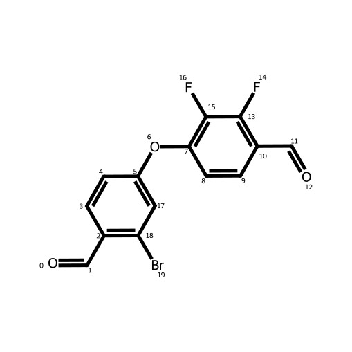 O=Cc1ccc(Oc2ccc(C=O)c(F)c2F)cc1Br